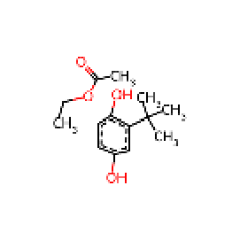 CC(C)(C)c1cc(O)ccc1O.CCOC(C)=O